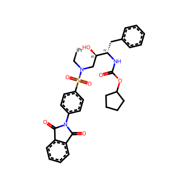 CC(C)CN(C[C@@H](O)[C@H](Cc1ccccc1)NC(=O)OC1CCCC1)S(=O)(=O)c1ccc(N2C(=O)c3ccccc3C2=O)cc1